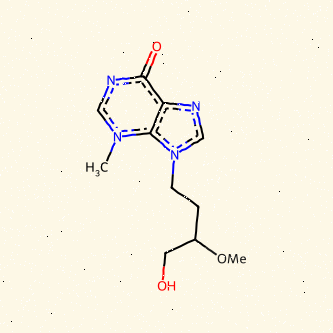 COC(CO)CCn1cnc2c(=O)ncn(C)c21